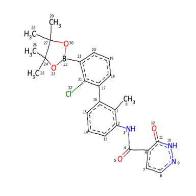 Cc1c(NC(=O)c2ccn[nH]c2=O)cccc1-c1cccc(B2OC(C)(C)C(C)(C)O2)c1Cl